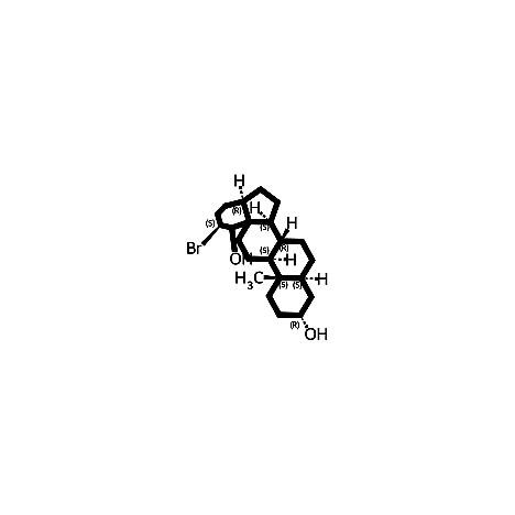 C[C@]12CC[C@@H](O)C[C@@H]1CC[C@H]1[C@@H]3CC[C@@H]4CC[C@H](Br)C(O)C43CC[C@@H]12